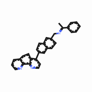 C/C(=N\Cc1ccc2cc(-c3ccnc4c3ccc3cccnc34)ccc2c1)c1ccccc1